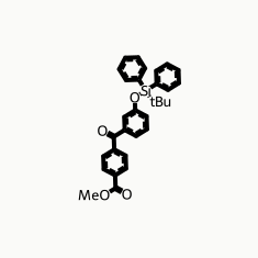 COC(=O)c1ccc(C(=O)c2cccc(O[Si](c3ccccc3)(c3ccccc3)C(C)(C)C)c2)cc1